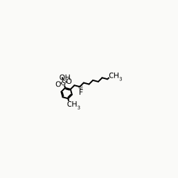 CCCCCCC[C@H](F)Cc1cc(C)ccc1S(=O)(=O)O